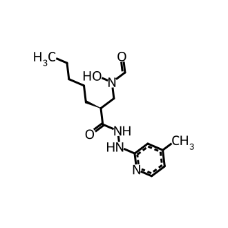 CCCCC[C@@H](CN(O)C=O)C(=O)NNc1cc(C)ccn1